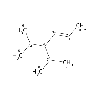 CC=CC(C(C)C)C(C)C